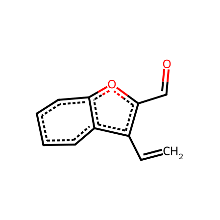 C=Cc1c(C=O)oc2ccccc12